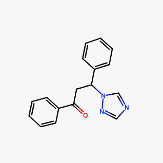 O=C(CC(c1ccccc1)n1cncn1)c1ccccc1